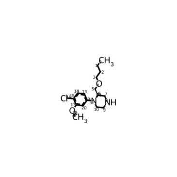 CCCCOC[C@H]1CNCCN1c1ccc(Cl)c(OC)c1